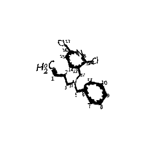 C=CCCN(Cc1ccccc1)Cc1ccc(Cl)nc1Cl